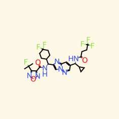 CC(C)(F)c1nonc1C(=O)N[C@H](c1cn2ncc([C@H](NC(=O)CCC(F)(F)F)C3CC3)cc2n1)C1CCC(F)(F)CC1